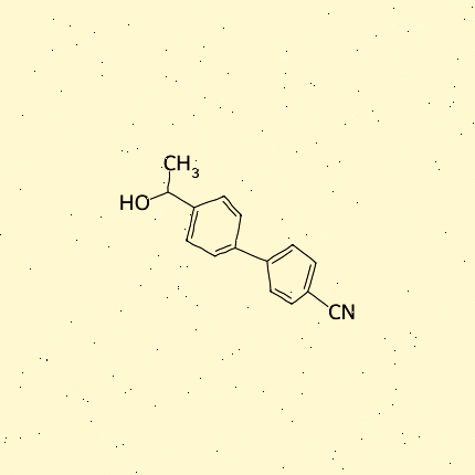 CC(O)c1ccc(-c2ccc(C#N)cc2)cc1